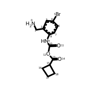 NCc1cc(Br)ccc1NC(=O)OC(=O)C1CCC1